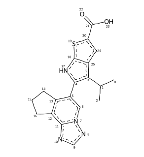 CC(C)c1c(-c2cn3ncnc3c3c2CCC3)[nH]c2sc(C(=O)O)cc12